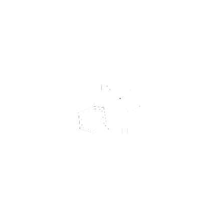 Cl.NC1(c2ccccn2)CCC1